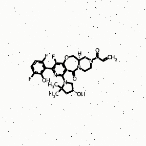 C=CC(=O)N1CCN2C(=O)c3c(N4C[C@H](O)CC4(C)C)nc(-c4c(F)ccc(F)c4O)c(F)c3OC[C@H]2C1